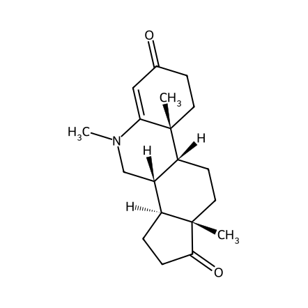 CN1C[C@@H]2[C@@H](CC[C@]3(C)C(=O)CC[C@@H]23)[C@@]2(C)CCC(=O)C=C12